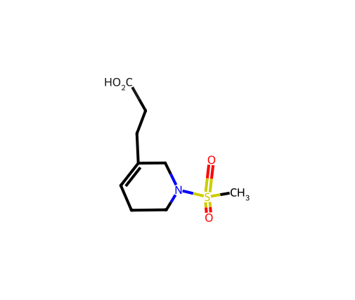 CS(=O)(=O)N1CCC=C(CCC(=O)O)C1